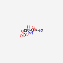 COc1cc2c(Nc3ccc(OC)c(C4=CC(=O)C=CC4=O)c3)ncnc2cc1OCCCN1CCCC1